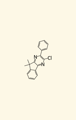 CC1(C)c2ccccc2-c2nc(Cl)c(-c3ccccc3)nc21